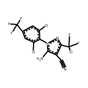 N#Cc1c(C(F)(F)Cl)nn(-c2c(Cl)cc(C(F)(F)F)cc2Cl)c1N